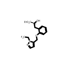 CCOC(=O)[C@@H](O)Cc1ccccc1OCc1ccnn1CC(F)(F)F